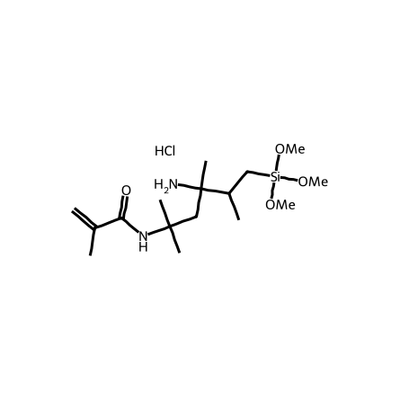 C=C(C)C(=O)NC(C)(C)CC(C)(N)C(C)C[Si](OC)(OC)OC.Cl